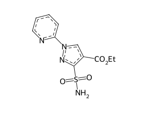 CCOC(=O)c1cn(-c2ccccn2)nc1S(N)(=O)=O